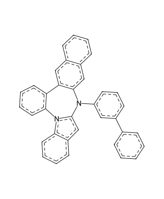 c1ccc(-c2cccc(N3c4cc5ccccc5cc4-c4ccccc4-n4c3cc3ccccc34)c2)cc1